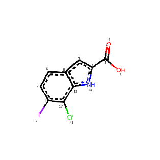 O=C(O)c1cc2ccc(I)c(Cl)c2[nH]1